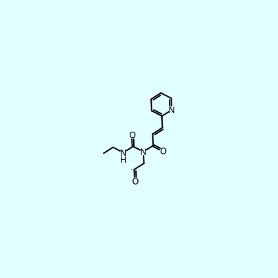 CCNC(=O)N(C[C]=O)C(=O)C=Cc1ccccn1